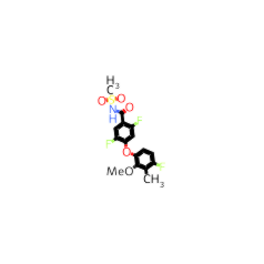 COc1c(Oc2cc(F)c(C(=O)NS(C)(=O)=O)cc2F)ccc(F)c1C